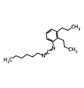 CCCCCCN=C=Nc1cccc(CCC)c1CCC